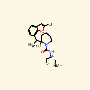 CCCCC(c1cccc2cc(C)oc12)C1(OC)CCCCN1C(=O)N[C@H](CNC)CC(C)C